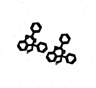 ICC1(c2ccccc2)N=C(c2ccccc2)Oc2ccccc21.ICC1(c2ccccc2)OC(c2ccccc2)=Nc2ccccc21